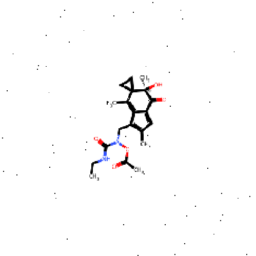 CCNC(=O)N(CC1=C(C)C=C2C(=O)[C@](C)(O)C3(CC3)C(C)=C21)OC(C)=O